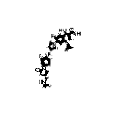 CC(=O)NC[C@H]1CN(c2ccc(OC[C@@H]3CCN(c4cc5c(cc4F)C(O)C(C(=O)O)=CN5C4CC4)C3)c(F)c2)C(=O)O1